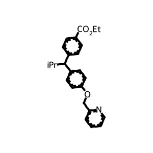 CCOC(=O)c1ccc(C(c2ccc(OCc3ccccn3)cc2)C(C)C)cc1